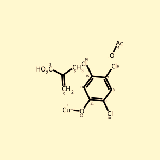 C=C(C)C(=O)O.CC(=O)[O-].Clc1cc(Cl)c([O][Cu+])cc1Cl